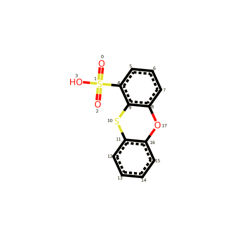 O=S(=O)(O)c1cccc2c1Sc1ccccc1O2